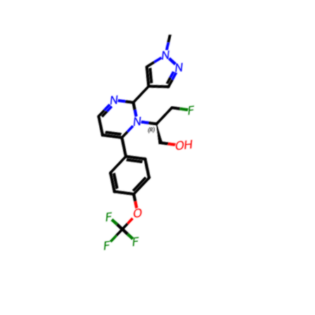 Cn1cc(C2N=CC=C(c3ccc(OC(F)(F)F)cc3)N2[C@H](CO)CF)cn1